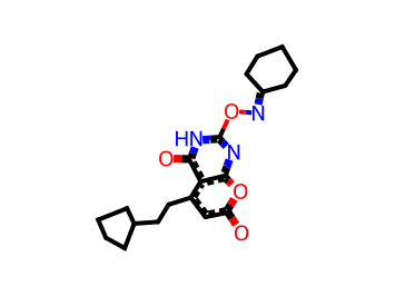 O=c1cc(CCC2CCCC2)c2c(=O)[nH]c(ON=C3CCCCC3)nc2o1